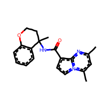 Cc1cc(C)n2ccc(C(=O)NC3(C)CCOc4ccccc43)c2n1